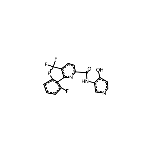 O=C(Nc1cnccc1O)c1ccc(C(F)(F)F)c(-c2c(F)cccc2F)n1